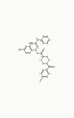 O=C(Nc1cc(Cl)ccc1OCC(=O)N1CCC(C(=O)c2ccc(F)cc2)CC1)Oc1ccccc1